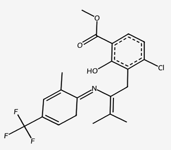 COC(=O)c1ccc(Cl)c(CC(/N=C2\CC=C(C(F)(F)F)C=C2C)=C(C)C)c1O